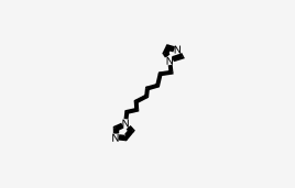 c1cn(CCCCCCCCn2ccnc2)cn1